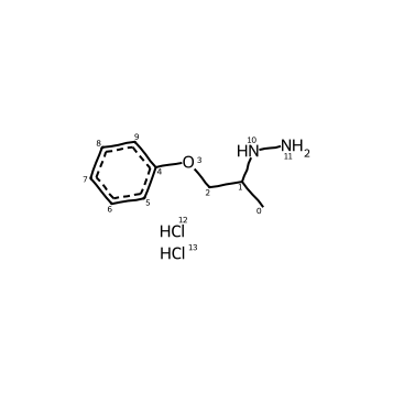 CC(COc1ccccc1)NN.Cl.Cl